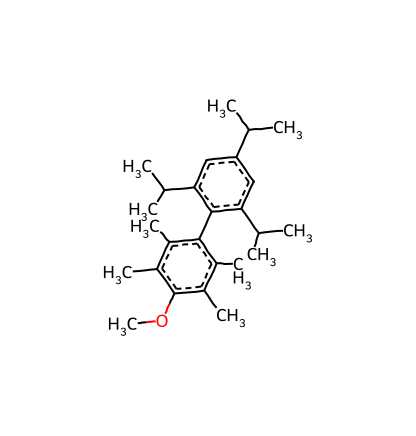 COc1c(C)c(C)c(-c2c(C(C)C)cc(C(C)C)cc2C(C)C)c(C)c1C